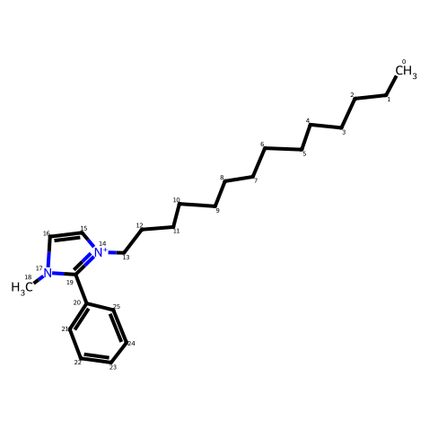 CCCCCCCCCCCCCC[n+]1ccn(C)c1-c1ccccc1